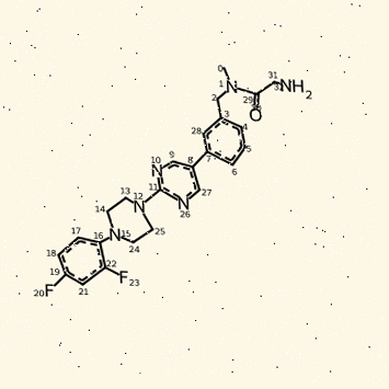 CN(Cc1cccc(-c2cnc(N3CCN(c4ccc(F)cc4F)CC3)nc2)c1)C(=O)CN